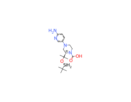 CC(C)(C)[SiH2]OC(C)(C)[C@H]1CN(c2ccc(N)nc2)CCN1C(=O)O